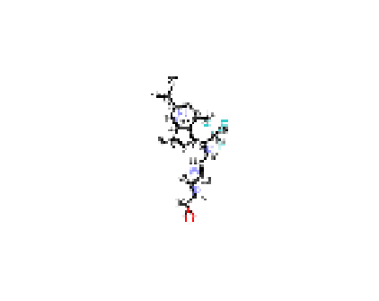 C/C=C(\C=C1\C(C)=CC(C(=C/C=C/C(C)=C/C=O)\C(F)(F)F)=C1CC)C(C)C